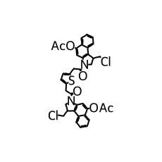 CC(=O)Oc1cc2c(c3ccccc13)C(CCl)CN2C(=O)Cc1ccc(CC(=O)N2CC(CCl)c3c2cc(OC(C)=O)c2ccccc32)s1